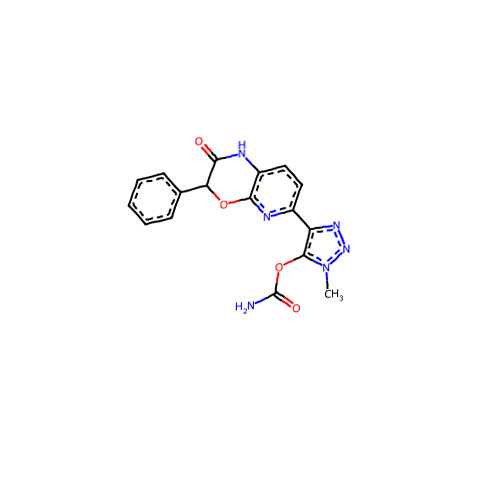 Cn1nnc(-c2ccc3c(n2)OC(c2ccccc2)C(=O)N3)c1OC(N)=O